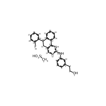 CS(=O)(=O)O.OCCc1cccc(Nc2ncc3c(n2)-c2ccccc2C(c2ccccc2F)C3)c1